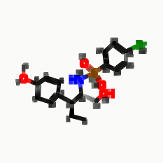 CC[C@@H](c1ccc(OC)cc1)[C@@H](CO)NS(=O)(=O)c1ccc(Br)cc1